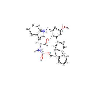 COc1cccc(Cn2cc(CC(C=O)N(C)C(=O)OCC3c4ccccc4-c4ccccc43)c3c2CCC=C3)c1